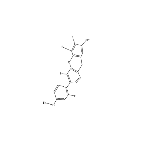 CCCc1cc2c(c(F)c1F)Oc1c(ccc(-c3ccc(OCC)cc3F)c1F)C2